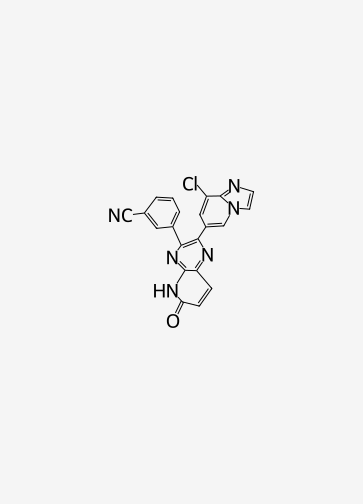 N#Cc1cccc(-c2nc3[nH]c(=O)ccc3nc2-c2cc(Cl)c3nccn3c2)c1